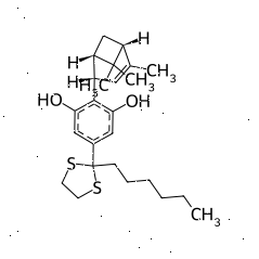 CCCCCCC1(c2cc(O)c([C@H]3C=C(C)[C@H]4C[C@@H]3C4(C)C)c(O)c2)SCCS1